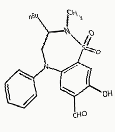 CCCCC1CN(c2ccccc2)c2cc(C=O)c(O)cc2S(=O)(=O)N1C